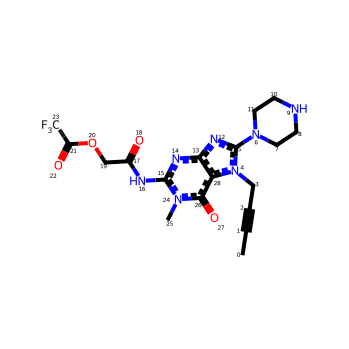 CC#CCn1c(N2CCNCC2)nc2nc(NC(=O)COC(=O)C(F)(F)F)n(C)c(=O)c21